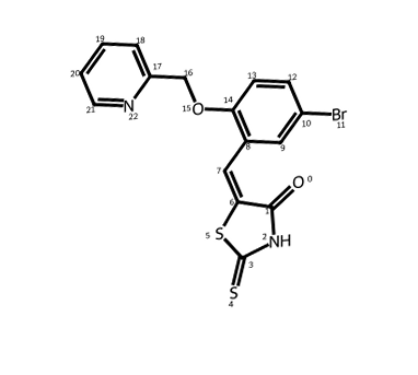 O=C1NC(=S)SC1=Cc1cc(Br)ccc1OCc1ccccn1